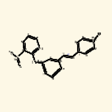 O=[N+]([O-])c1cccnc1Nc1cccc(/C=C/c2cc[n+]([O-])cc2)c1